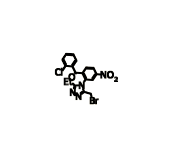 CCc1nnc(CBr)n1-c1cc([N+](=O)[O-])ccc1C(=O)c1ccccc1Cl